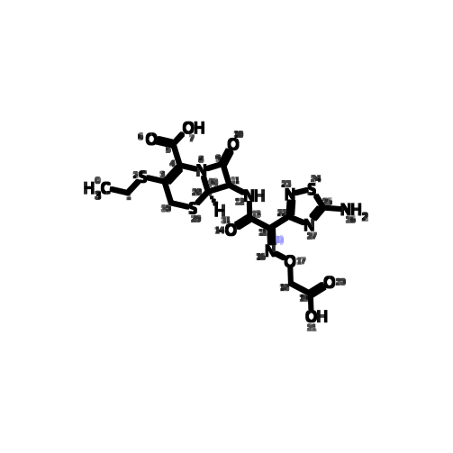 CCSC1=C(C(=O)O)N2C(=O)C(NC(=O)/C(=N/OCC(=O)O)c3nsc(N)n3)[C@H]2SC1